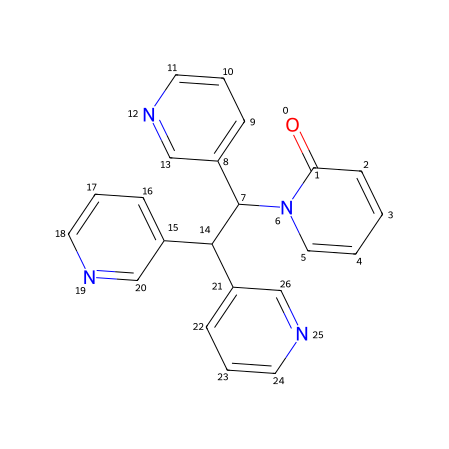 O=c1ccccn1C(c1cccnc1)C(c1cccnc1)c1cccnc1